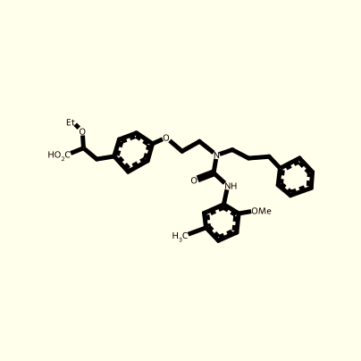 CCOC(Cc1ccc(OCCN(CCCc2ccccc2)C(=O)Nc2cc(C)ccc2OC)cc1)C(=O)O